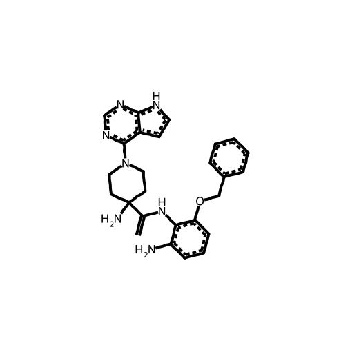 C=C(Nc1c(N)cccc1OCc1ccccc1)C1(N)CCN(c2ncnc3[nH]ccc23)CC1